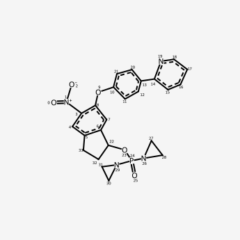 O=[N+]([O-])c1cc2c(cc1Oc1ccc(-c3ccccn3)cc1)C(OP(=O)(N1CC1)N1CC1)CC2